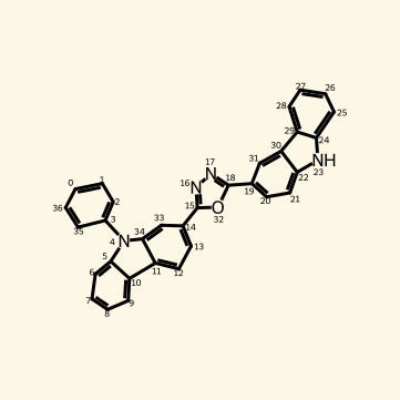 c1ccc(-n2c3ccccc3c3ccc(-c4nnc(-c5ccc6[nH]c7ccccc7c6c5)o4)cc32)cc1